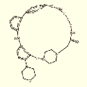 O=C1CN2CCN(CC2)Cc2cc(ccc2N2CCOCC2)Nc2nccc(n2)-c2ccc(cc2)CNCCCN1